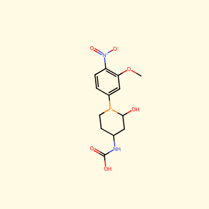 COc1cc(P2CCC(NC(=O)O)CC2O)ccc1[N+](=O)[O-]